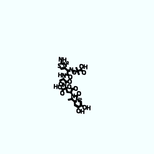 CC1c2cc(O)c(O)c[n+]2C(=O)N1C1CC(C(=O)O)(N2OC[C@H](NC(=O)/C(=N\OC(C)(C)C(=O)O)c3csc(N)n3)C2=O)OC1=O